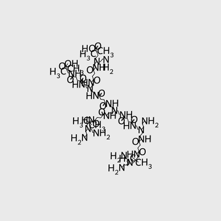 CC(C)(CNC(=O)CCC(=O)NCCN(CCN)CCNC(=O)CCC(=O)NCCN(CCNC(=O)CCC(=O)NCCN(CCNC(=O)CCC(=O)NCC(C)(C)C(=O)O)CNC(=O)CCC(=O)NCN(CCN)CCC(C)(C)C(=O)O)CCNC(=O)CCC(=O)NC(C)(C)CN(CCN)CCN)CN(CCN)CCN